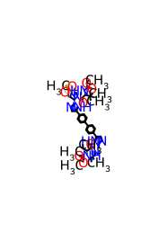 CCCN(Cc1ncc(-c2ccc(-c3ccc(-c4cnc([C@@H]5CN(S(C)(=O)=O)CN5C(=O)[C@@H](NC(=O)OC)C(C)C)[nH]4)cc3)cc2)[nH]1)C(=O)[C@@H](NC(=O)OC)C(C)C